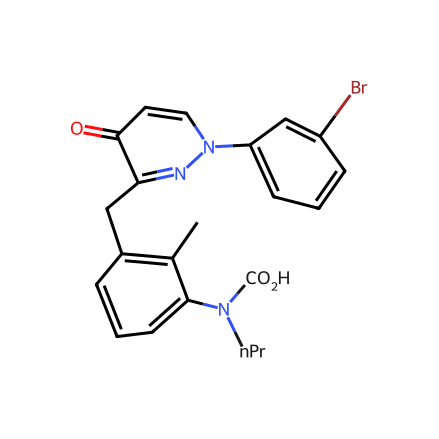 CCCN(C(=O)O)c1cccc(Cc2nn(-c3cccc(Br)c3)ccc2=O)c1C